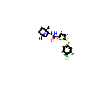 O=C(N[C@@H]1C[C@H]2CC[C@@H]1N2)c1ccc(Sc2ccc(Cl)cc2)s1